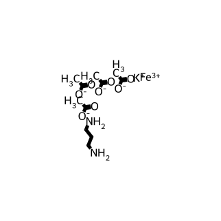 CC(=O)[O-].CC(=O)[O-].CC(=O)[O-].CC(=O)[O-].NCCCN.[Fe+3].[K+]